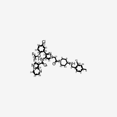 Cc1ccc(CNC2CCN(C(=O)Cn3cc(NC(=O)c4cnn5cccnc45)c(-c4cc(Cl)ccc4OC(F)F)n3)CC2)c(C)c1